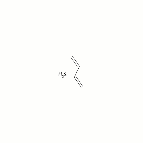 C=CC=C.S